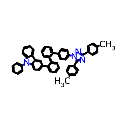 Cc1ccc(-c2nc(-c3ccc(C)cc3)n(-c3ccc(-c4ccccc4-c4ccccc4-c4ccc5c(c4)c4ccccc4n5-c4ccccc4)cc3)n2)cc1